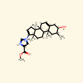 COC(=O)c1cn(C2=CCC3[C@]4(C)CC=C5C[C@@H](O)C(C)C[C@]5(C)C4CC[C@]23C)cn1